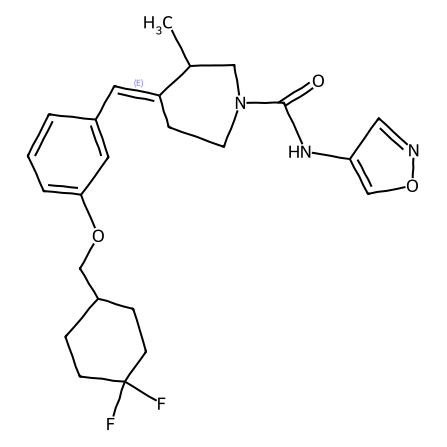 CC1CN(C(=O)Nc2cnoc2)CC/C1=C\c1cccc(OCC2CCC(F)(F)CC2)c1